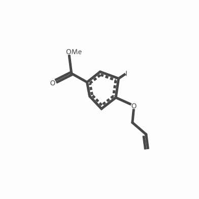 C=CCOc1ccc(C(=O)OC)cc1I